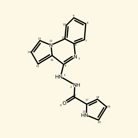 O=C(NNc1nc2ccccc2n2cccc12)c1ccc[nH]1